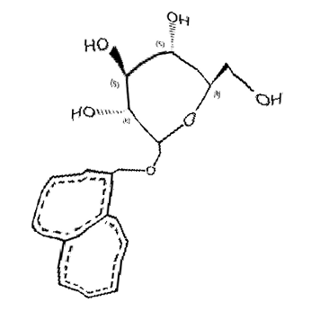 OC[C@H]1OC(Oc2cccc3ccccc23)[C@H](O)[C@@H](O)[C@@H]1O